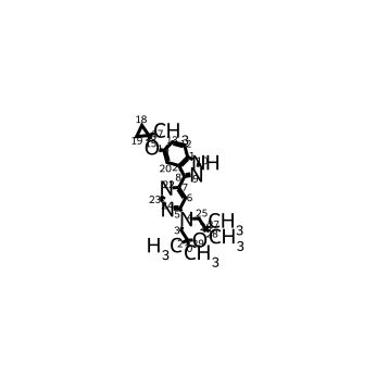 CC1(C)CN(c2cc(-c3n[nH]c4ccc(OC5(C)CC5)cc34)ncn2)CC(C)(C)O1